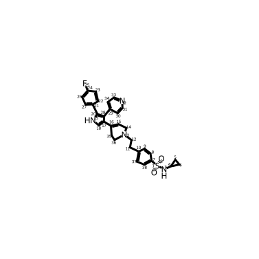 O=S(=O)(NC1CC1)c1ccc(CCN2CC=C(c3c[nH]c(-c4ccc(F)cc4)c3-c3ccncc3)CC2)cc1